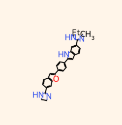 CCN/C(=N\C)c1ccc2cc(-c3ccc(-c4cc5ccc(C6=NCCN6)cc5o4)cc3)[nH]c2c1